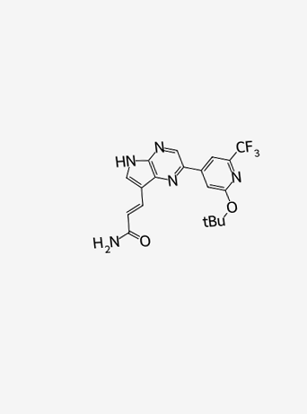 CC(C)(C)Oc1cc(-c2cnc3[nH]cc(C=CC(N)=O)c3n2)cc(C(F)(F)F)n1